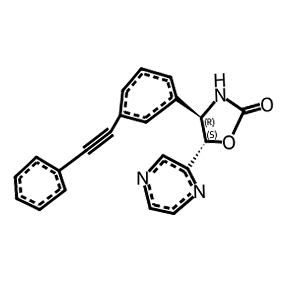 O=C1N[C@H](c2cccc(C#Cc3ccccc3)c2)[C@@H](c2cnccn2)O1